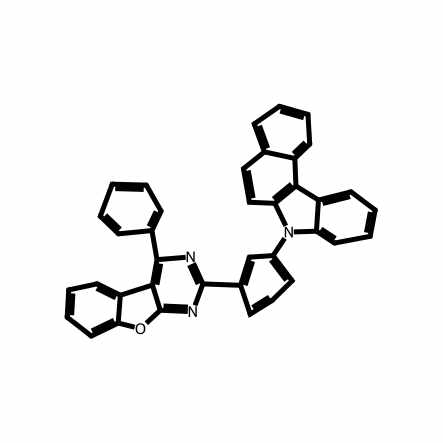 c1ccc(-c2nc(-c3cccc(-n4c5ccccc5c5c6ccccc6ccc54)c3)nc3oc4ccccc4c23)cc1